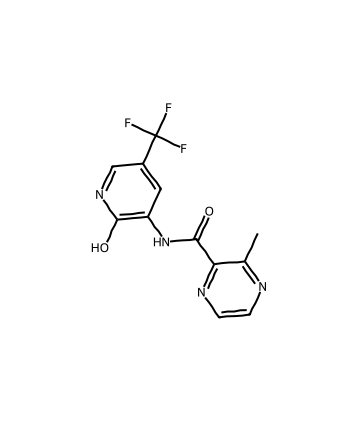 Cc1nccnc1C(=O)Nc1cc(C(F)(F)F)cnc1O